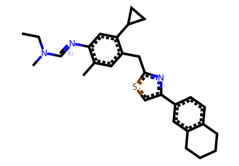 CCN(C)/C=N/c1cc(C2CC2)c(Cc2nc(-c3ccc4c(c3)CCCC4)cs2)cc1C